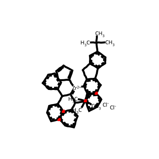 CC(C)(C)c1ccc2c(c1)Cc1c-2ccc(C(C)(C)C)[c]1[Zr+2]([C]1=CC=CC1)=[C](C(c1ccccc1)c1ccccc1)C(c1ccccc1)c1ccccc1.[Cl-].[Cl-]